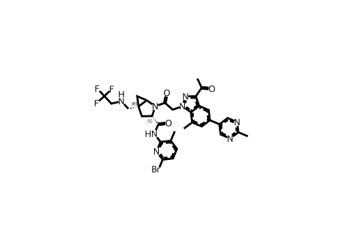 CC(=O)c1nn(CC(=O)N2C3C[C@]3(CNCC(F)(F)F)C[C@H]2C(=O)Nc2nc(Br)ccc2C)c2c(C)cc(-c3cnc(C)nc3)cc12